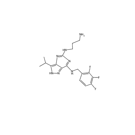 CC(C)c1[nH]nc2c(NCc3ccc(F)c(F)c3F)nc(NCCCN)nc12